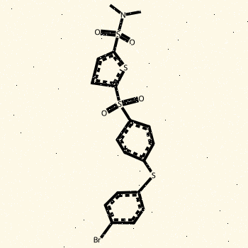 CN(C)S(=O)(=O)c1ccc(S(=O)(=O)c2ccc(Sc3ccc(Br)cc3)cc2)s1